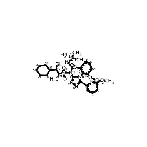 COc1cccc(-c2nnc(N(CC[Si](C)(C)C)S(=O)(=O)[C@@H](C)[C@H](O)C3CCCCC3)n2-c2c(OC)cccc2OC)n1